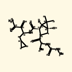 CC(C)(C)NC(=O)NC(C(=O)N1C[C@H]2[C@@H]([C@H]1C(=O)NC(CC1CC1)C(=O)C(N)=O)C2(C)C)C(C)(C)C